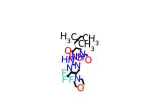 CCC(C)(C)C[C@H](CN(O)C=O)C(=O)NNc1ncc(N2CCOCC2)c(C(F)(F)F)n1